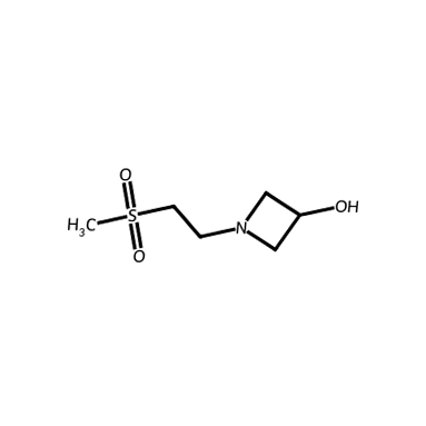 CS(=O)(=O)CCN1CC(O)C1